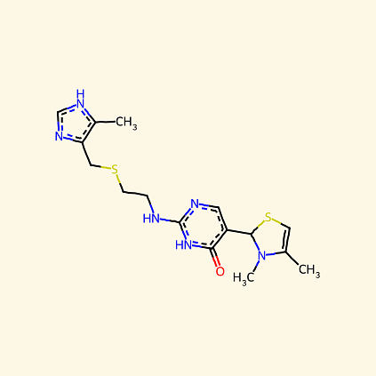 CC1=CSC(c2cnc(NCCSCc3nc[nH]c3C)[nH]c2=O)N1C